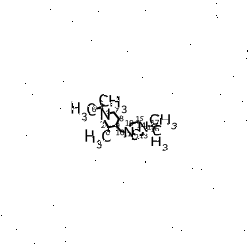 CC1CN(C(C)C)CCC1CN1CCN(C(C)C)CC1